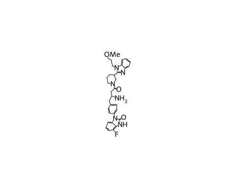 COCCCn1c(C2CCCN(C(=O)CC(N)Cc3ccc(-n4c(=O)[nH]c5c(F)cccc54)cc3)C2)nc2ccccc21